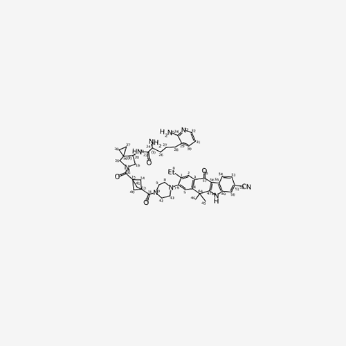 CCc1cc2c(cc1N1CCN(C(=O)C34CC(C(=O)N5C[C@H](NC(=O)[C@@H](N)CCCc6cccnc6N)C6(CC6)C5)(C3)C4)CC1)C(C)(C)c1[nH]c3cc(C#N)ccc3c1C2=O